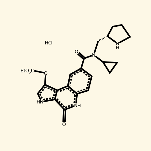 CCOC(=O)Oc1c[nH]c2c(=O)[nH]c3ccc(C(=O)N(C[C@@H]4CCCN4)C4CC4)cc3c12.Cl